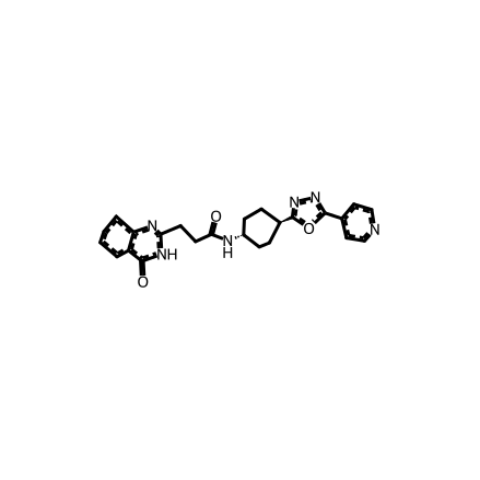 O=C(CCc1nc2ccccc2c(=O)[nH]1)N[C@H]1CC[C@H](c2nnc(-c3ccncc3)o2)CC1